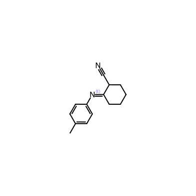 Cc1ccc(/N=C2\CCCCC2C#N)cc1